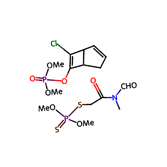 COP(=O)(OC)OC1=C(Cl)C2C=CCC12.COP(=S)(OC)SCC(=O)N(C)C=O